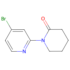 O=C1CCCCN1c1cc(Br)ccn1